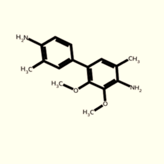 COc1c(-c2ccc(N)c(C)c2)cc(C)c(N)c1OC